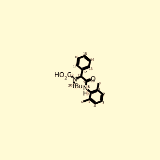 Cc1cccc(C)c1NC(=O)C(c1ccccc1)N(C(=O)O)C(C)(C)C